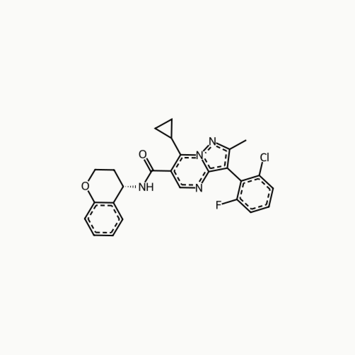 Cc1nn2c(C3CC3)c(C(=O)N[C@H]3CCOc4ccccc43)cnc2c1-c1c(F)cccc1Cl